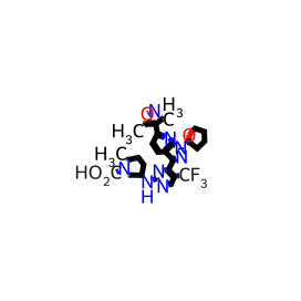 Cc1noc(C)c1-c1ccc2c(-c3nc(N[C@@H]4CC[C@@H](C)N(C(=O)O)C4)ncc3C(F)(F)F)nn(C3CCCCO3)c2n1